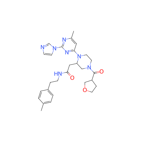 Cc1ccc(CCNC(=O)CC2CN(C(=O)C3CCOC3)CCN2c2cc(C)nc(-n3ccnc3)n2)cc1